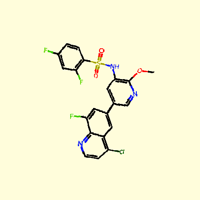 COc1ncc(-c2cc(F)c3nccc(Cl)c3c2)cc1NS(=O)(=O)c1ccc(F)cc1F